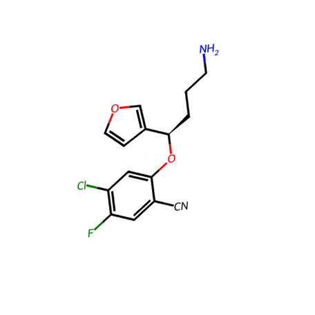 N#Cc1cc(F)c(Cl)cc1O[C@H](CCCN)c1ccoc1